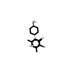 Cc1[nH]c(C)c([C@H]2CC[C@H](C(C)(C)C)CC2)c(=O)c1Br